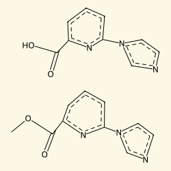 COC(=O)c1cccc(-n2ccnc2)n1.O=C(O)c1cccc(-n2ccnc2)n1